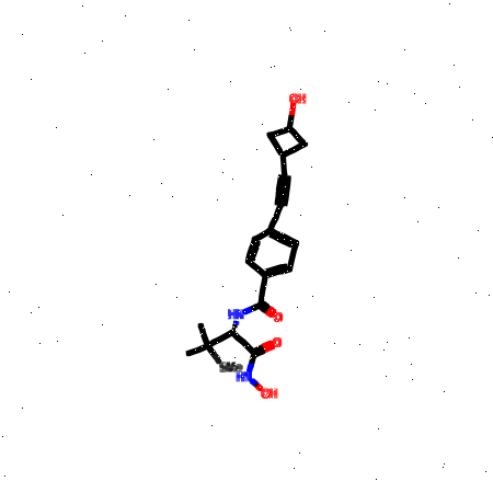 CSC(C)(C)[C@H](NC(=O)c1ccc(C#CC2CC(O)C2)cc1)C(=O)NO